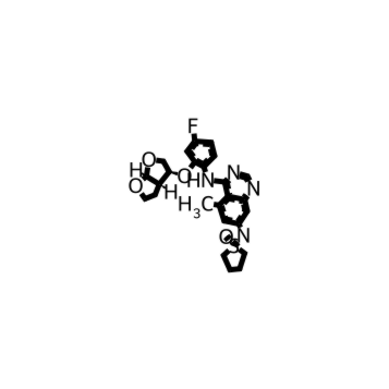 Cc1cc(N=S2(=O)CCCC2)cc2ncnc(Nc3ccc(F)cc3O[C@@H]3CO[C@@H]4OCC[C@@H]43)c12